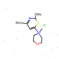 COC1=NC(OC)SC([N+]2(C)CCOCC2)=C1.[Cl-]